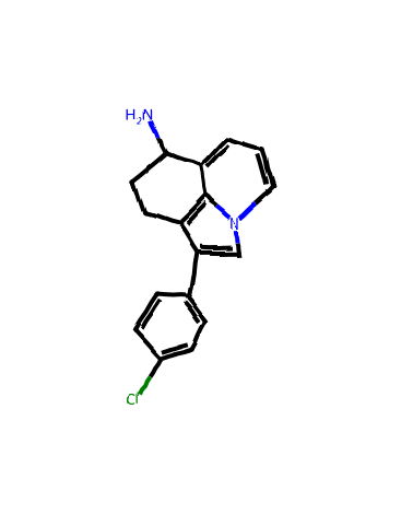 NC1CCc2c(-c3ccc(Cl)cc3)cn3cccc1c23